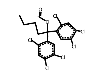 CCCCC(O[C]=O)(c1cc(Cl)c(Cl)cc1Cl)c1cc(Cl)c(Cl)cc1Cl